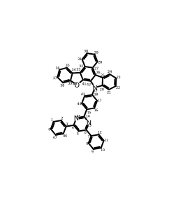 c1ccc(-c2cc(-c3ccccc3)nc(-c3ccc(-n4c5ccccc5c5c6ccccc6c6c7ccccc7oc6c54)cc3)n2)cc1